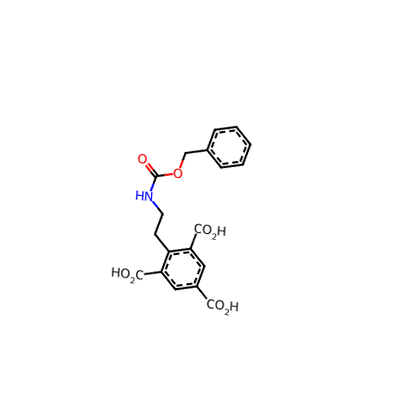 O=C(NCCc1c(C(=O)O)cc(C(=O)O)cc1C(=O)O)OCc1ccccc1